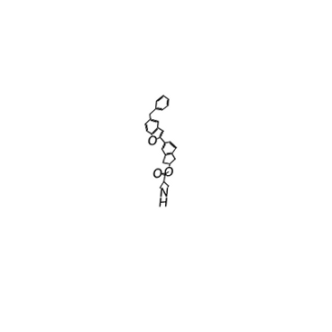 O=C(OC1Cc2ccc(-c3cc4cc(Cc5ccccc5)ccc4o3)cc2C1)C1CNC1